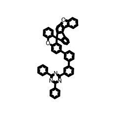 c1ccc(-c2nc(-c3ccccc3)nc(-c3cccc(-c4cccc(-c5ccc6c(c5)C5(c7ccccc7O6)c6ccccc6-c6c5ccc5oc7ccccc7c65)c4)c3)n2)cc1